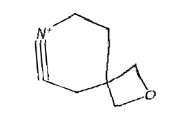 C1#[N+]CCC2(C1)COC2